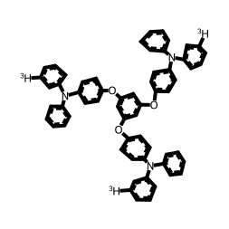 [3H]c1cccc(N(c2ccccc2)c2ccc(Oc3cc(Oc4ccc(N(c5ccccc5)c5cccc([3H])c5)cc4)cc(Oc4ccc(N(c5ccccc5)c5cccc([3H])c5)cc4)c3)cc2)c1